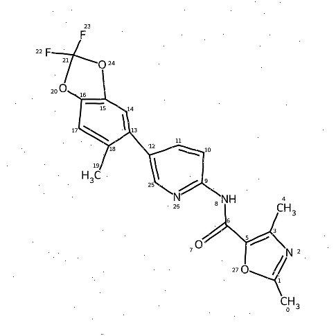 Cc1nc(C)c(C(=O)Nc2ccc(-c3cc4c(cc3C)OC(F)(F)O4)cn2)o1